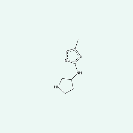 Cc1cnc(NC2CCNC2)s1